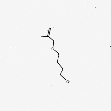 C=C(C)COCCCC[O]